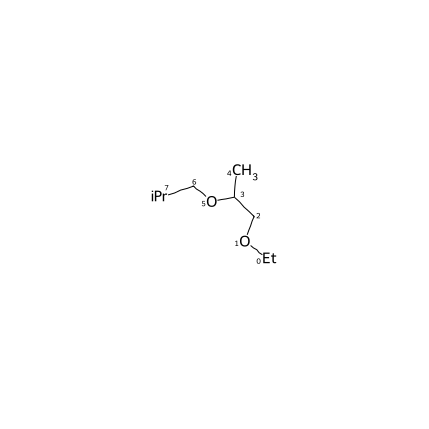 CCOCC(C)OCC(C)C